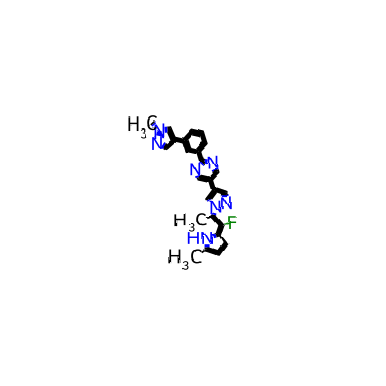 C[C@H]([C@H](F)[C@H]1CC[C@H](C)N1)n1cc(-c2cnc(-c3cccc(-c4cnn(C)c4)c3)nc2)cn1